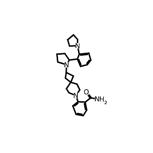 NC(=O)c1ccccc1N1CCC2(CC1)CC(N1CCCC1c1ccccc1N1CCCC1)C2